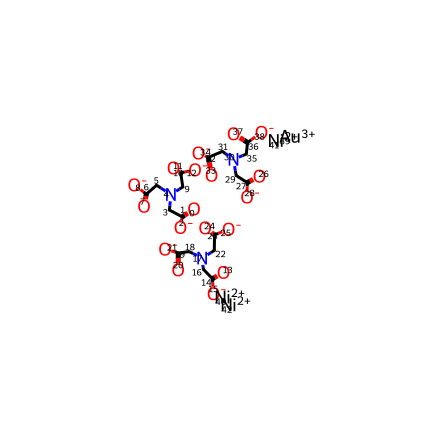 O=C([O-])CN(CC(=O)[O-])CC(=O)[O-].O=C([O-])CN(CC(=O)[O-])CC(=O)[O-].O=C([O-])CN(CC(=O)[O-])CC(=O)[O-].[Au+3].[Ni+2].[Ni+2].[Ni+2]